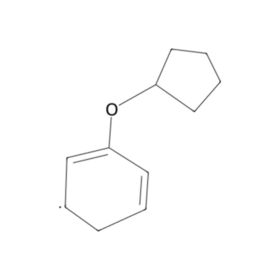 [CH]1C=C(OC2CCCC2)C=CC1